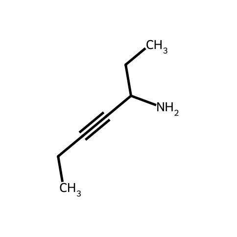 CCC#CC(N)CC